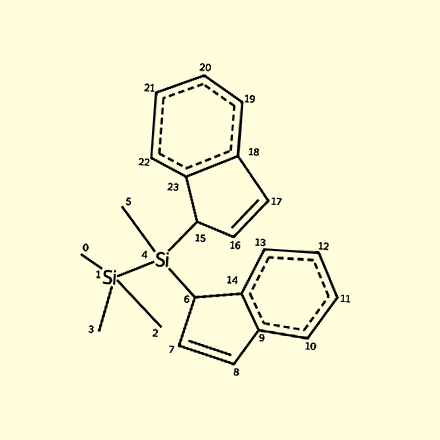 C[Si](C)(C)[Si](C)(C1C=Cc2ccccc21)C1C=Cc2ccccc21